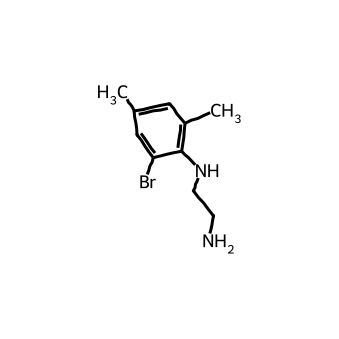 Cc1cc(C)c(NCCN)c(Br)c1